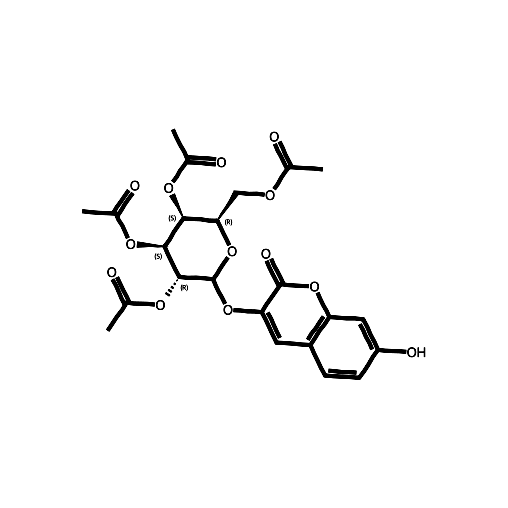 CC(=O)OC[C@H]1OC(Oc2cc3ccc(O)cc3oc2=O)[C@H](OC(C)=O)[C@@H](OC(C)=O)[C@H]1OC(C)=O